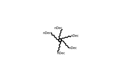 CCCCCCCCCCCCCCCCc1cc(CCCCCCCCCCCCCCCC)c(CCCCCCCCCCCCCCCC)c(CCCCCCCCCCCCCCCC)c1CCCCCCCCCCCCCCCC